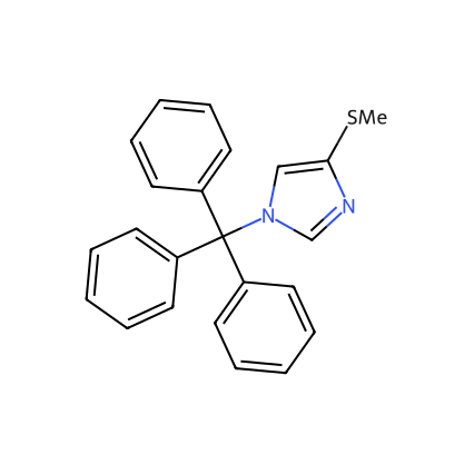 CSc1cn(C(c2ccccc2)(c2ccccc2)c2ccccc2)cn1